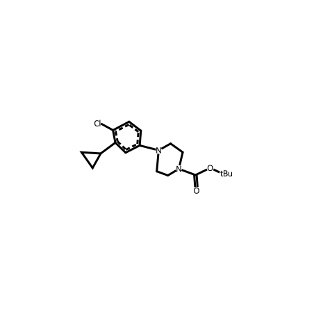 CC(C)(C)OC(=O)N1CCN(c2ccc(Cl)c(C3CC3)c2)CC1